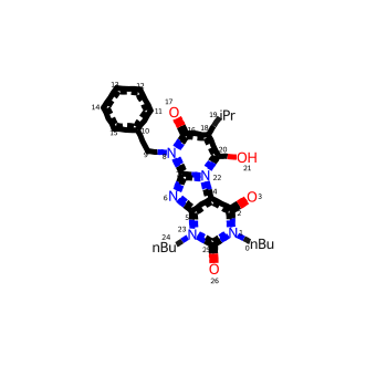 CCCCn1c(=O)c2c(nc3n(Cc4ccccc4)c(=O)c(C(C)C)c(O)n23)n(CCCC)c1=O